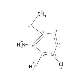 CCc1ccc(Cl)c(C)c1N